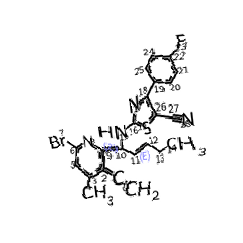 C=C=c1c(C)cc(Br)n/c1=C(/C=C/CC)Nc1nc(-c2ccc(F)cc2)c(C#N)s1